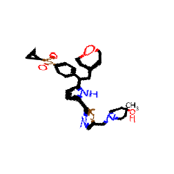 CC1(O)CCN(Cc2cnc(-c3ccc(C(CC4CCOCC4)C4=CC=C(S(=O)(=O)C5CC5)CC4)[nH]3)s2)CC1